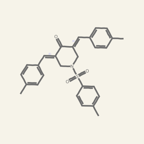 Cc1ccc(/C=C2\CN(S(=O)(=O)c3ccc(C)cc3)C/C(=C\c3ccc(C)cc3)C2=O)cc1